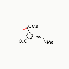 CNCC#Cc1cc(C(=O)O)cc(C(=O)OC)c1